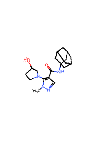 Cn1ncc(C(=O)NC23CC4CC(CC(C4)C2)C3)c1N1CCC(O)C1